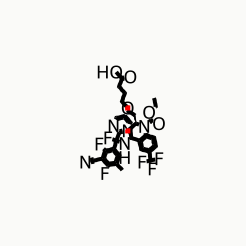 CCOC(=O)N1c2ccc(C(F)(F)F)cc2[C@@H](NC(F)(c2ncc(OCCCC(=O)O)cn2)c2cc(C)c(F)c(C#N)c2F)C[C@H]1CC